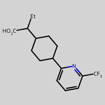 CCC(C(=O)O)C1CCC(c2cccc(C(F)(F)F)n2)CC1